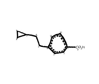 O=C(O)c1ccc(CCC2CC2)cc1